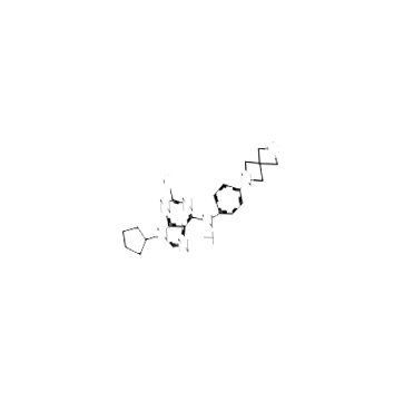 Clc1nc(Nc2ccc(N3CC4(COC4)C3)cc2)c2ncn(C3CCCC3)c2n1